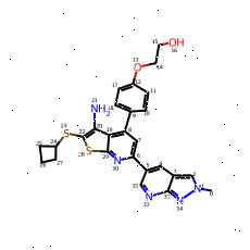 Cn1cc2cc(-c3cc(-c4ccc(OCCO)cc4)c4c(N)c(SC5CCC5)sc4n3)cnc2n1